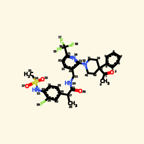 CC(=O)C1(c2ccccc2)CCN(c2nc(C(F)(F)F)ccc2CNC(=O)C(C)c2ccc(NS(C)(=O)=O)c(F)c2)CC1